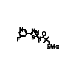 CSCC(C)(C)C(=O)N(C)c1nnc(-c2cncc(F)c2)s1